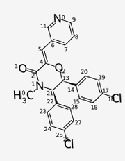 CN1C(=O)C(=Cc2cccnc2)O[C@@H](c2ccc(Cl)cc2)[C@H]1c1ccc(Cl)cc1